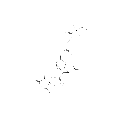 CCC(C)(C)C(=O)OCC(=O)OC1C2CC3C1OC(=O)C3C2C(=O)OC1(C)C(C)OC(=O)C1C